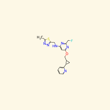 Cc1nnc(CNc2cc(OCC3CC3c3ccccn3)nc(CF)n2)s1